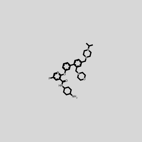 CC(C)N1CCN(Cc2ccc(-c3cccc(Oc4ncc(F)cc4C(=O)NC4CCC(N)CC4)c3)c(CN3CCOCC3)c2)CC1